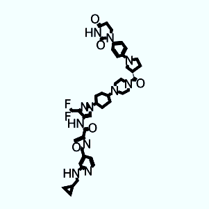 O=C1CCN(c2ccc(N3CC[C@H](C(=O)N4CCN(C5CCC(n6cc(NC(=O)c7coc(-c8ccnc(NCC9CC9)c8)n7)c(C(F)F)n6)CC5)CC4)C3)cc2)C(=O)N1